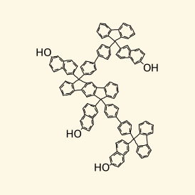 Oc1ccc2cc(C3(c4ccc(-c5ccc(C6(c7ccc8cc(O)ccc8c7)c7ccccc7-c7cc8c(cc76)-c6ccccc6C8(c6ccc(-c7ccc(C8(c9ccc%10cc(O)ccc%10c9)c9ccccc9-c9ccccc98)cc7)cc6)c6ccc7cc(O)ccc7c6)cc5)cc4)c4ccccc4-c4ccccc43)ccc2c1